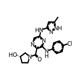 Cc1cc(Nc2cnc(C(=O)N3CC[C@H](O)C3)c(Nc3ccc(Cl)cc3)n2)n[nH]1